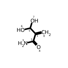 C=C(C(N)=O)C(O)O